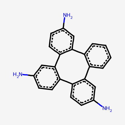 Nc1ccc2c(c1)-c1ccccc1-c1cc(N)ccc1-c1cc(N)ccc1-2